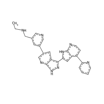 CCNCc1cncc(-c2cnc3[nH]nc(-c4cc5c(-c6ccccn6)ccnc5[nH]4)c3c2)c1